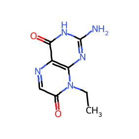 CCn1c(=O)cnc2c(=O)[nH]c(N)nc21